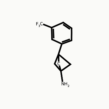 NC12CC(c3cccc(C(F)(F)F)c3)(C1)C2